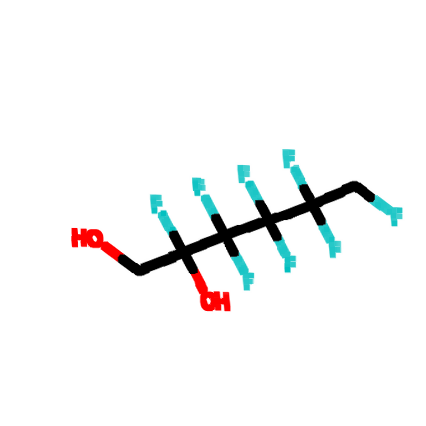 OCC(O)(F)C(F)(F)C(F)(F)C(F)(F)CF